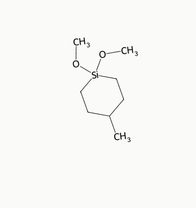 CO[Si]1(OC)CCC(C)CC1